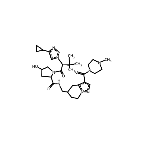 CN1CCN(C(=O)c2cnn3c2CC(CNC(=O)C2CC(O)CN2C(=O)[C@@H](n2cc(C4CC4)nn2)C(C)(C)C)CC3)CC1